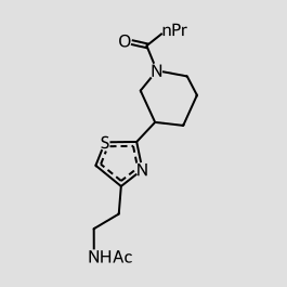 CCCC(=O)N1CCCC(c2nc(CCNC(C)=O)cs2)C1